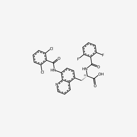 O=C(N[C@@H](Cc1ccc(NC(=O)c2c(Cl)cccc2Cl)c2ncccc12)C(=O)O)c1c(F)cccc1F